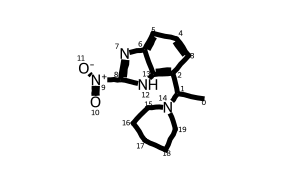 CC(c1cccc2nc([N+](=O)[O-])[nH]c12)N1CCCCC1